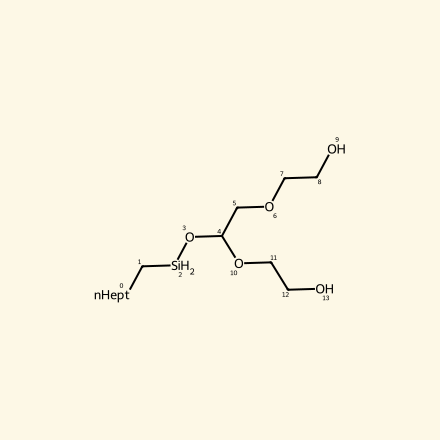 CCCCCCCC[SiH2]OC(COCCO)OCCO